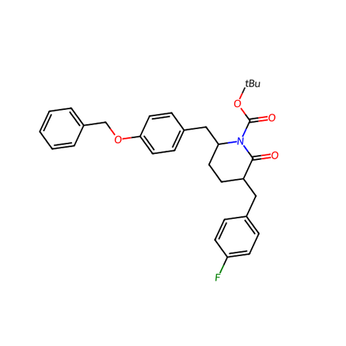 CC(C)(C)OC(=O)N1C(=O)C(Cc2ccc(F)cc2)CCC1Cc1ccc(OCc2ccccc2)cc1